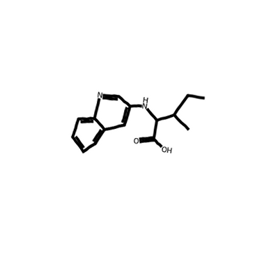 CCC(C)C(Nc1cnc2ccccc2c1)C(=O)O